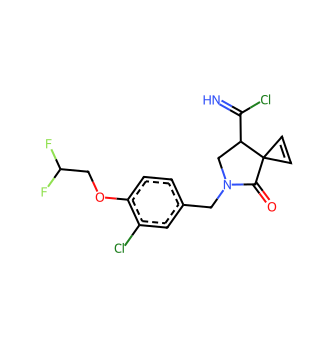 N=C(Cl)C1CN(Cc2ccc(OCC(F)F)c(Cl)c2)C(=O)C12C=C2